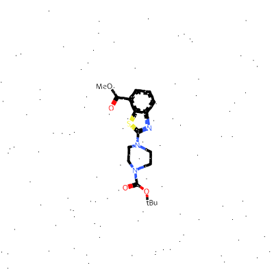 COC(=O)c1cccc2nc(N3CCN(C(=O)OC(C)(C)C)CC3)sc12